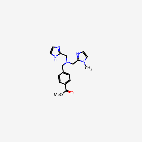 COC(=O)c1ccc(CN(Cc2ncc[nH]2)Cc2nccn2C)cc1